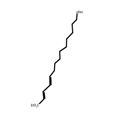 CCCCCCCCCCCCCCCCCCCC=CC=CC(=O)OCC